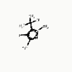 Cc1nn(C)c(C(C)(C)C)c1F